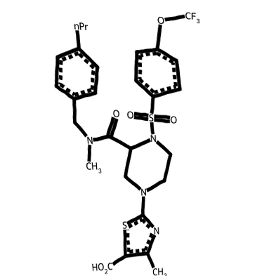 CCCc1ccc(CN(C)C(=O)C2CN(c3nc(C)c(C(=O)O)s3)CCN2S(=O)(=O)c2ccc(OC(F)(F)F)cc2)cc1